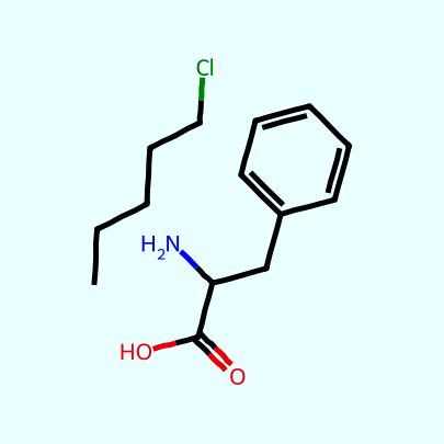 CCCCCCl.NC(Cc1ccccc1)C(=O)O